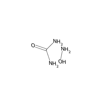 NC(N)=O.NO